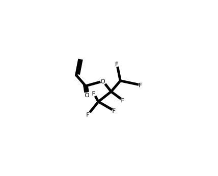 C=CC(=O)OC(F)(C(F)F)C(F)(F)F